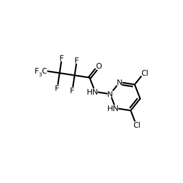 O=C(NN1N=C(Cl)C=C(Cl)N1)C(F)(F)C(F)(F)C(F)(F)F